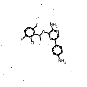 CC(Oc1nc(-c2ccc(N)cc2)cnc1N)c1c(F)ccc(F)c1Cl